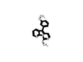 COc1cccc(-c2c3cccnc3n3c(SC)nccc23)c1